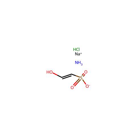 Cl.N.O=S(=O)([O-])C=CO.[Na+]